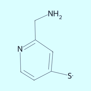 NCc1cc([S])ccn1